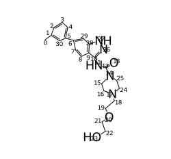 Cc1cccc(-c2ccc3c(NC(=O)N4CCN(CCOCCO)CC4)n[nH]c3c2)c1